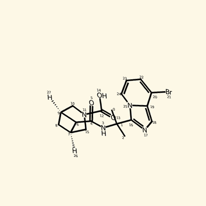 CC(C)(NC(=O)C1[C@@H]2C[C@H]1CN(C(=O)O)C2)c1ncc2c(Br)cccn12